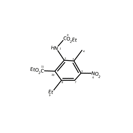 CCOC(=O)Nc1c(C)c([N+](=O)[O-])cc(CC)c1C(=O)OCC